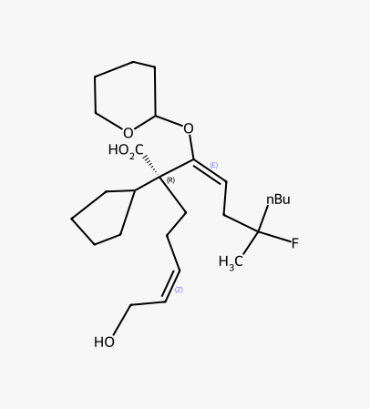 CCCCC(C)(F)C/C=C(/OC1CCCCO1)[C@](CC/C=C\CO)(C(=O)O)C1CCCC1